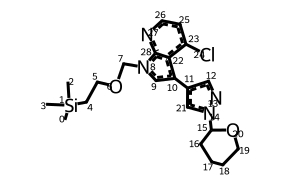 C[Si](C)(C)CCOCn1cc(-c2cnn(C3CCCCO3)c2)c2c(Cl)ccnc21